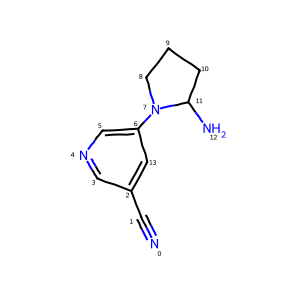 N#Cc1cncc(N2CCCC2N)c1